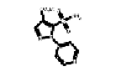 CCOC(=O)c1cnn(-c2ccncc2)c1S(N)(=O)=O